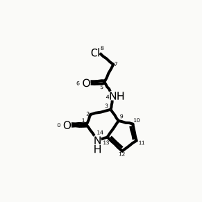 O=C1CC(NC(=O)CCl)C2C=CC=C2N1